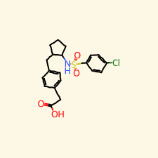 O=C(O)Cc1ccc(CC2CCCC2NS(=O)(=O)c2ccc(Cl)cc2)cc1